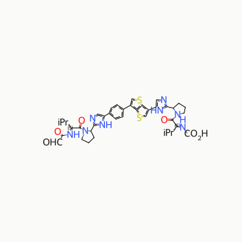 CC(C)[C@H](NC(=O)C=O)C(=O)N1CCCC1c1ncc(-c2ccc(-c3csc4c(-c5cnc(C6CCCN6C(=O)[C@@H](NC(=O)O)C(C)C)[nH]5)csc34)cc2)[nH]1